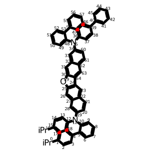 CC(C)c1ccc(-c2ccccc2N(c2ccc(C(C)C)cc2)c2ccc3cc4c(cc3c2)oc2cc3cc(N(c5ccc(-c6ccccc6)cc5)c5ccccc5-c5ccccc5)ccc3cc24)cc1